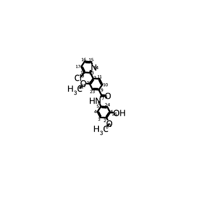 COc1ccc(NC(=O)c2ccc(-c3ncccc3Cl)c(OC)c2)cc1O